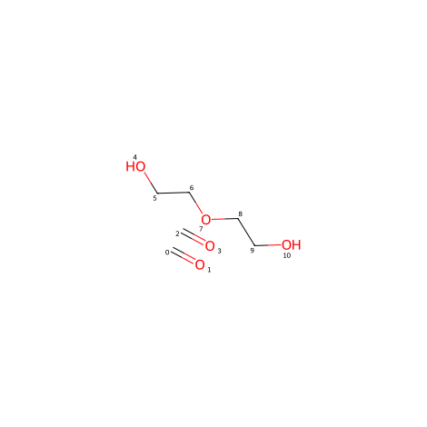 C=O.C=O.OCCOCCO